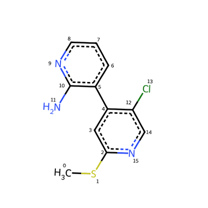 CSc1cc(-c2cccnc2N)c(Cl)cn1